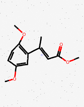 COC(=O)/C=C(\C)c1cc(OC)ccc1OC